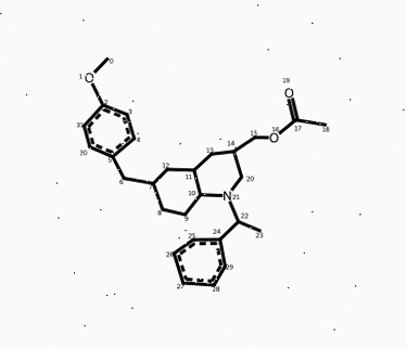 COc1ccc(CC2CCC3C(C2)CC(COC(C)=O)CN3C(C)c2ccccc2)cc1